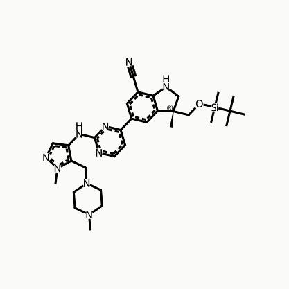 CN1CCN(Cc2c(Nc3nccc(-c4cc(C#N)c5c(c4)[C@@](C)(CO[Si](C)(C)C(C)(C)C)CN5)n3)cnn2C)CC1